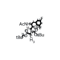 CC(=O)N[C@@H](Cc1cc(F)cc(F)c1)[C@H](O)[C@H]1CO[C@@H](OCC(C)(C)C)[C@H](C)N1C(=O)OC(C)(C)C